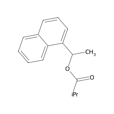 CC(C)C(=O)OC(C)c1cccc2ccccc12